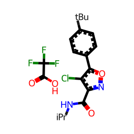 CC(C)NC(=O)c1noc(-c2ccc(C(C)(C)C)cc2)c1Cl.O=C(O)C(F)(F)F